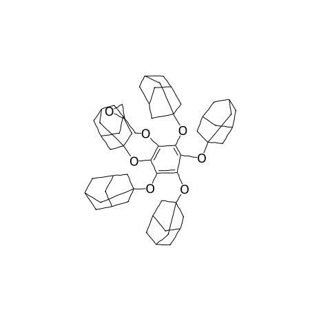 C1C2CC3CC1CC(Oc1c(OCC4CO4)c(OC45CC6CC(CC(C6)C4)C5)c(OC45CC6CC(CC(C6)C4)C5)c(OC45CC6CC(CC(C6)C4)C5)c1OC14CC5CC(CC(C5)C1)C4)(C2)C3